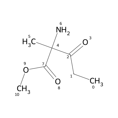 CCC(=O)C(C)(N)C(=O)OC